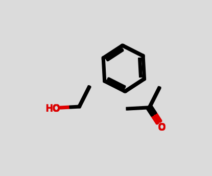 CC(C)=O.CCO.c1ccccc1